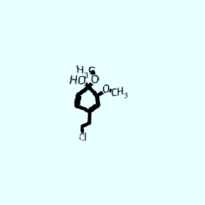 COC1C=C(CCCl)C=CC1(O)OC